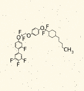 CCCCCC1CCC(C(F)(F)Oc2ccc(OCC(F)(F)Oc3ccc(-c4cc(F)c(F)c(F)c4)c(F)c3)cc2)CC1